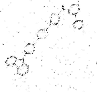 c1ccc(-c2cccc(Nc3ccc(-c4ccc(-c5ccc(-n6c7ccccc7c7ccccc76)cc5)cc4)cc3)c2)cc1